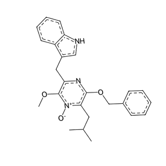 COc1c(Cc2c[nH]c3ccccc23)nc(OCc2ccccc2)c(CC(C)C)[n+]1[O-]